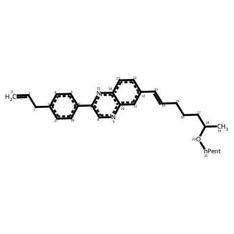 C=CCc1ccc(-c2cnc3cc(C=CCCCC(C)OCCCCC)ccc3n2)cc1